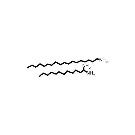 CCCCCCCCCCCC(N)N.CCCCCCCCCCCCCCCCCCN